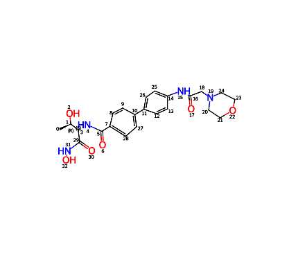 C[C@@H](O)[C@H](NC(=O)c1ccc(-c2ccc(NC(=O)CN3CCOCC3)cc2)cc1)C(=O)NO